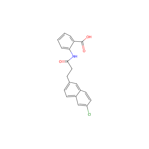 O=C(CCc1ccc2cc(Cl)ccc2c1)Nc1ccccc1C(=O)O